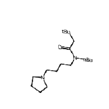 CCCCN(CCCCN1CCCC1)C(=O)CC(C)(C)C